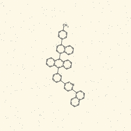 Cc1ccc(-c2ccc(-c3c4ccccc4c(-c4cccc(-c5ccc(-c6cccc7ccccc67)nc5)c4)c4ccccc34)c3ccccc23)cc1